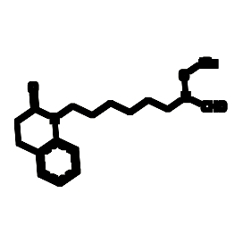 CC(C)(C)ON(C=O)CCCCCCN1C(=O)CCc2ccccc21